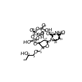 CC(O)COC[C@H]1O[C@@H](n2ccc(=O)[nH]c2=O)C[C@@H]1OP(=O)(O)OP(=O)(O)OP(=O)(O)O